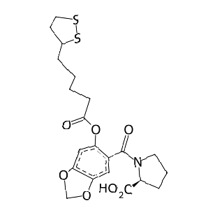 O=C(CCCCC1CCSS1)Oc1cc2c(cc1C(=O)N1CCC[C@H]1C(=O)O)OCO2